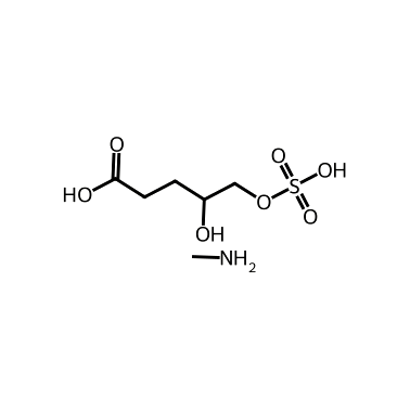 CN.O=C(O)CCC(O)COS(=O)(=O)O